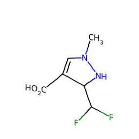 CN1C=C(C(=O)O)C(C(F)F)N1